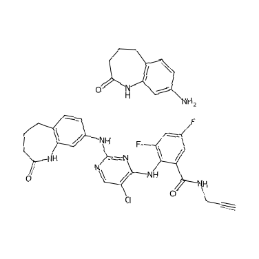 C#CCNC(=O)c1cc(F)cc(F)c1Nc1nc(Nc2ccc3c(c2)NC(=O)CCC3)ncc1Cl.Nc1ccc2c(c1)NC(=O)CCC2